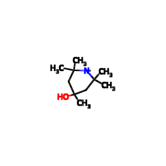 CC1(O)CC(C)(C)[N]C(C)(C)C1